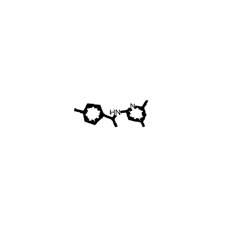 Cc1ccc(C(C)Nc2cc(C)cc(C)n2)cc1